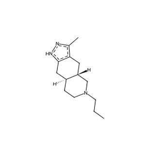 CCCN1CC[C@H]2Cc3[nH]nc(C)c3C[C@@H]2C1